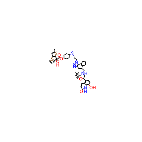 Cc1ccc([C@](O)(C(=O)O[C@H]2CC[C@H](N(C)CCCn3nnc4cc(CNCC(O[Si](C)(C)C(C)(C)C)c5ccc(O)c6[nH]c(=O)ccc56)c5c(c43)CCC5)CC2)c2cccs2)s1